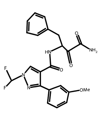 COc1cccc(-c2nn(C(F)F)cc2C(=O)NC(Cc2ccccc2)C(=O)C(N)=O)c1